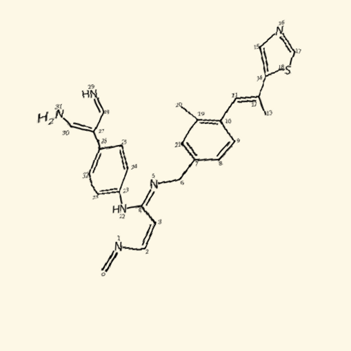 C=N/C=C\C(=N/Cc1ccc(/C=C(\C)c2cncs2)c(C)c1)Nc1ccc(/C(C=N)=C/N)cc1